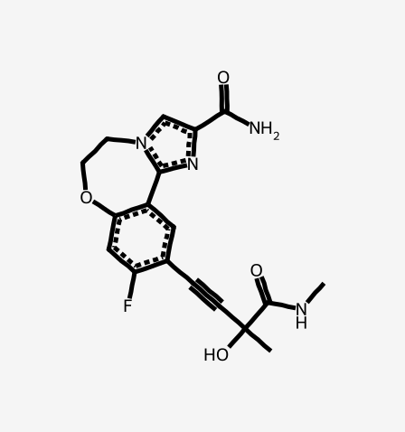 CNC(=O)C(C)(O)C#Cc1cc2c(cc1F)OCCn1cc(C(N)=O)nc1-2